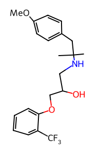 COc1ccc(CC(C)(C)NCC(O)COc2ccccc2C(F)(F)F)cc1